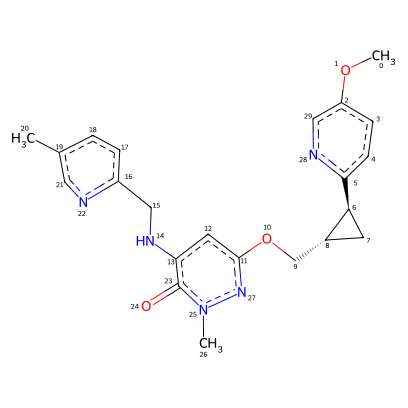 COc1ccc([C@H]2C[C@@H]2COc2cc(NCc3ccc(C)cn3)c(=O)n(C)n2)nc1